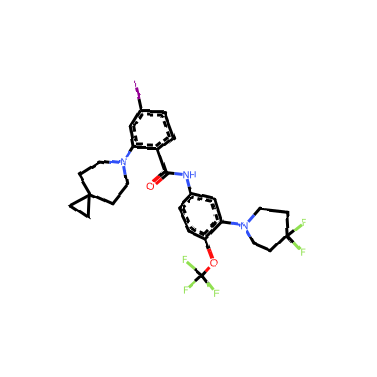 O=C(Nc1ccc(OC(F)(F)F)c(N2CCC(F)(F)CC2)c1)c1ccc(I)cc1N1CCC2(CC1)CC2